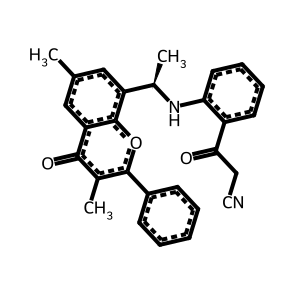 Cc1cc([C@@H](C)Nc2ccccc2C(=O)CC#N)c2oc(-c3ccccc3)c(C)c(=O)c2c1